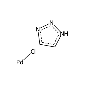 [Cl][Pd].c1c[nH]nn1